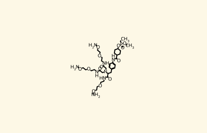 CCP(=O)(OC)OC1CCC(C(=O)Nc2ccc(CC(C(=O)NCCOCCON)N(CC(=O)NCCOCCON)CC(=O)NCCOCCON)cc2)CC1